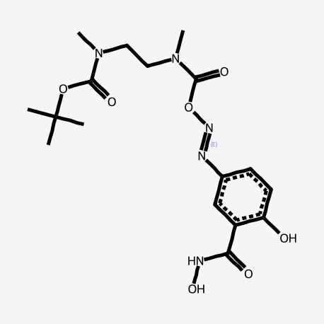 CN(CCN(C)C(=O)OC(C)(C)C)C(=O)O/N=N/c1ccc(O)c(C(=O)NO)c1